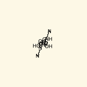 Cc1c(O)c(C=NCCCCCN(C)C)c2nc3c(O)ccc(C(=O)NCCCCCN(C)C)c3nc2c1O